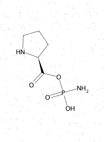 NP(=O)(O)OC(=O)[C@@H]1CCCN1